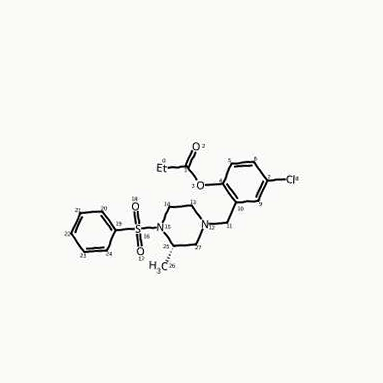 CCC(=O)Oc1ccc(Cl)cc1CN1CCN(S(=O)(=O)c2ccccc2)[C@@H](C)C1